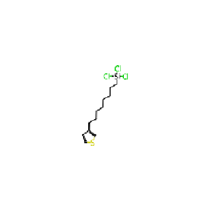 Cl[Si](Cl)(Cl)CCCCCCCCc1ccsc1